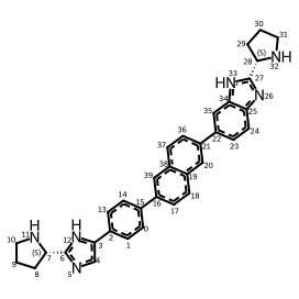 c1cc(-c2cnc([C@@H]3CCCN3)[nH]2)ccc1-c1ccc2cc(-c3ccc4nc([C@@H]5CCCN5)[nH]c4c3)ccc2c1